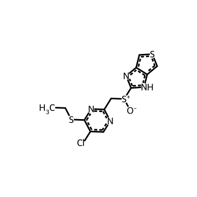 CCSc1nc(C[S+]([O-])c2nc3cscc3[nH]2)ncc1Cl